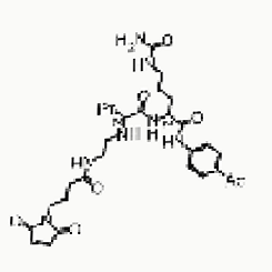 CC(=O)c1ccc(NC(=O)[C@H](CCCNC(N)=O)NC(=O)[C@@H](NCCNC(=O)CCCN2C(=O)C=CC2=O)C(C)C)cc1